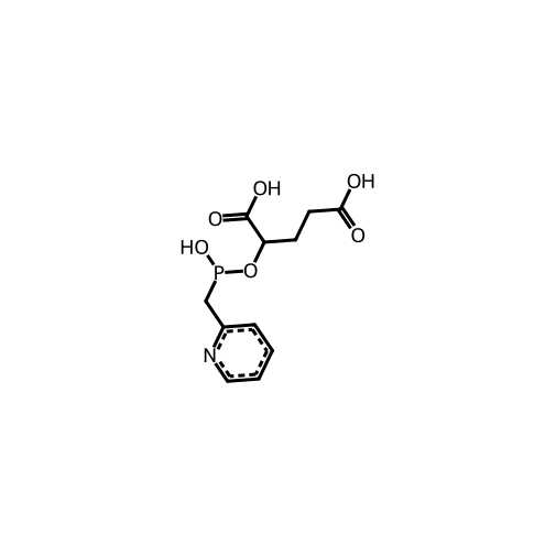 O=C(O)CCC(OP(O)Cc1ccccn1)C(=O)O